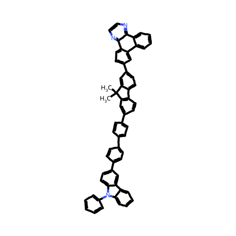 CC1(C)c2cc(-c3ccc(-c4ccc(-c5ccc6c(c5)c5ccccc5n6-c5ccccc5)cc4)cc3)ccc2-c2ccc(-c3ccc4c(c3)c3ccccc3c3nccnc43)cc21